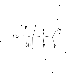 CCCC(F)C(F)(F)C(F)(F)C(O)(O)F